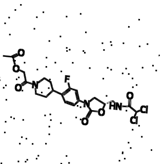 CC(=O)OCC(=O)N1CCC(c2ccc(N3C[C@H](CNC(=O)C(Cl)Cl)OC3=O)cc2F)CC1